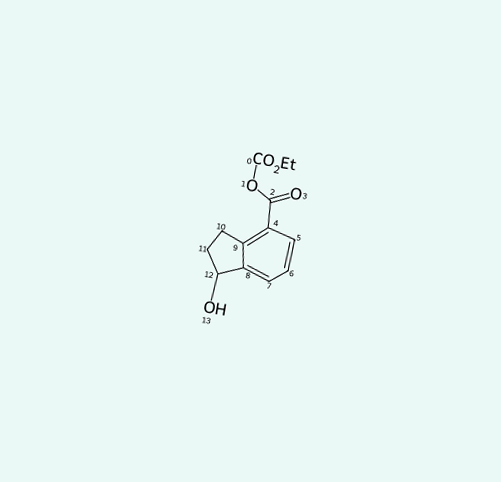 CCOC(=O)OC(=O)c1cccc2c1CCC2O